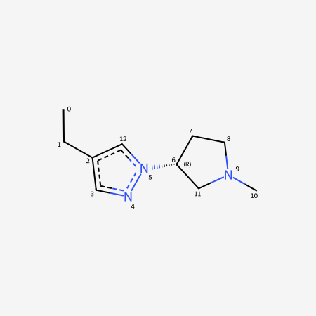 CCc1cnn([C@@H]2CCN(C)C2)c1